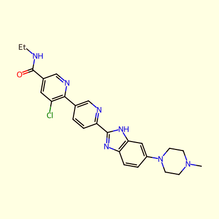 CCNC(=O)c1cnc(-c2ccc(-c3nc4ccc(N5CCN(C)CC5)cc4[nH]3)nc2)c(Cl)c1